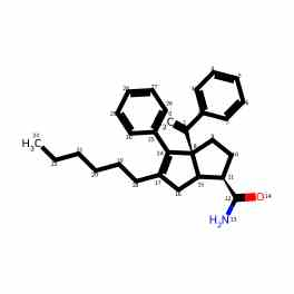 C=C(c1ccccc1)[C@@]12CC[C@@H](C(N)=O)C1CC(CCCCCC)=C2c1ccccc1